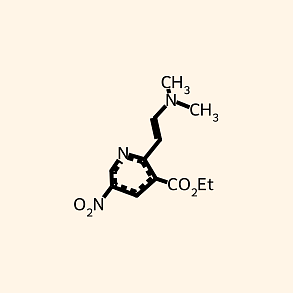 CCOC(=O)c1cc([N+](=O)[O-])cnc1C=CN(C)C